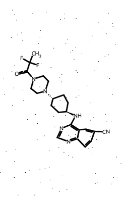 CC(F)(F)C(=O)N1CCN([C@H]2CC[C@H](Nc3ncnc4ccc(C#N)cc34)CC2)CC1